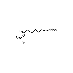 CCCCCCCCCCCCCCCC(=O)OC(=O)C(C)C